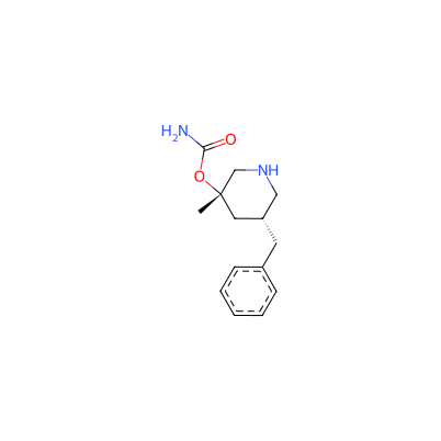 C[C@@]1(OC(N)=O)CNC[C@H](Cc2ccccc2)C1